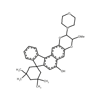 COC1Oc2cc3c(O)cc4c(c3cc2OC1N1CCOCC1)-c1ccccc1C41CC(C)(C)CC(C)(C)C1